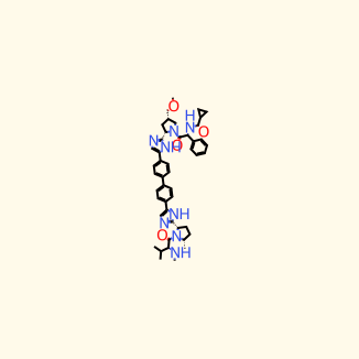 CN[C@H](C(=O)N1[C@@H](C)CC[C@H]1c1ncc(-c2ccc(-c3ccc(-c4cnc([C@@H]5C[C@H](COC)CN5C(=O)[C@H](NC(=O)C5CC5)c5ccccc5)[nH]4)cc3)cc2)[nH]1)C(C)C